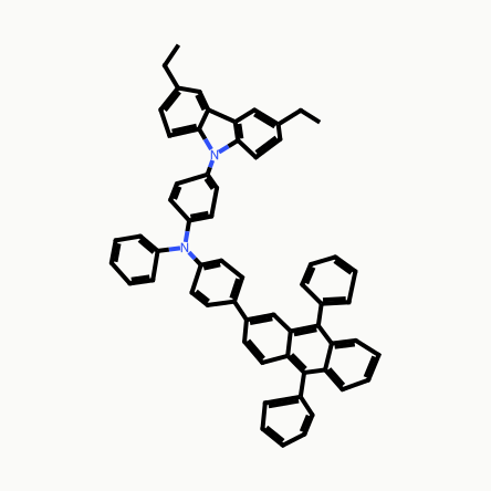 CCc1ccc2c(c1)c1cc(CC)ccc1n2-c1ccc(N(c2ccccc2)c2ccc(-c3ccc4c(-c5ccccc5)c5ccccc5c(-c5ccccc5)c4c3)cc2)cc1